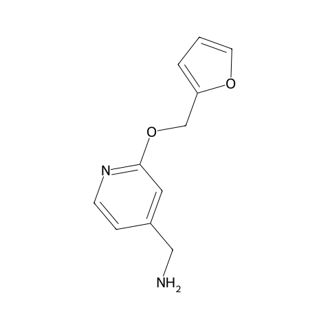 NCc1ccnc(OCc2ccco2)c1